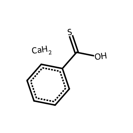 OC(=S)c1ccccc1.[CaH2]